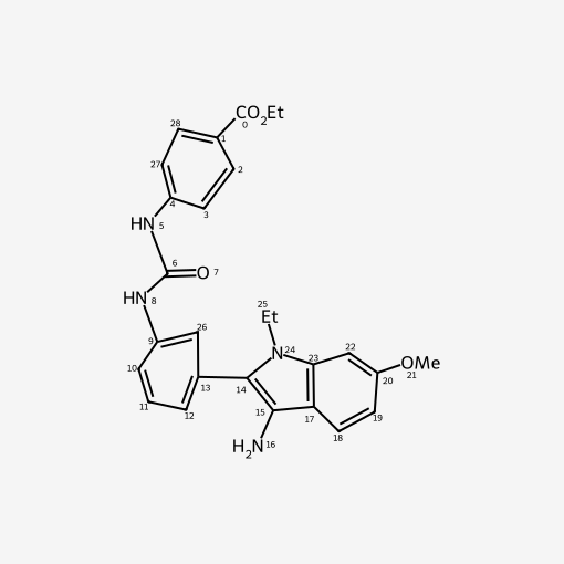 CCOC(=O)c1ccc(NC(=O)Nc2cccc(-c3c(N)c4ccc(OC)cc4n3CC)c2)cc1